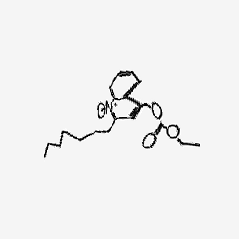 CCCCCCCc1cc(OC(=O)OCC)c2ccccc2[n+]1[O-]